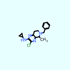 CC1c2nc(Cl)c(NC3CC3)nc2CCN1Cc1ccccc1